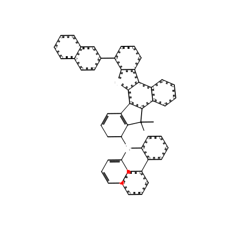 CC1(C)C2=C(C=CCC2N(C2=CC=CCC2)c2ccccc2-c2ccccc2)c2c1c1ccccc1c1c2oc2c(-c3ccc4ccccc4c3)cccc21